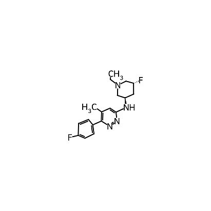 CCN1C[C@H](F)C[C@@H](Nc2cc(C)c(-c3ccc(F)cc3)nn2)C1